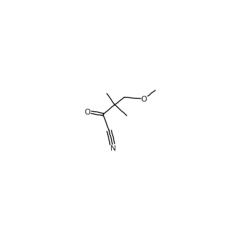 COCC(C)(C)C(=O)C#N